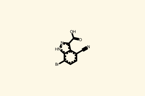 N#Cc1ccc(Br)c2[nH]nc(C(=O)O)c12